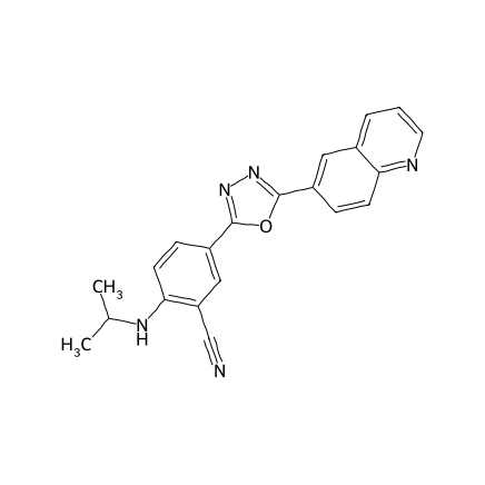 CC(C)Nc1ccc(-c2nnc(-c3ccc4ncccc4c3)o2)cc1C#N